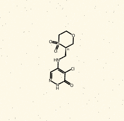 O=c1[nH]ncc(NC[C@@H]2COCCS2(=O)=O)c1Cl